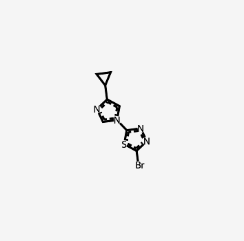 Brc1nnc(-n2cnc(C3CC3)c2)s1